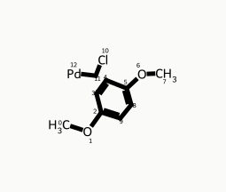 COc1[c]cc(OC)cc1.Cl[CH2][Pd]